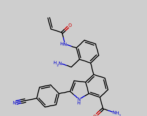 C=CC(=O)Nc1cccc(-c2ccc(C(N)=O)c3[nH]c(-c4ccc(C#N)cc4)cc23)c1CN